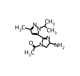 CC(=O)N1CC(N)N=C1c1cc(C)nn1C(C)C